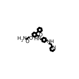 NC(=O)COc1ccc(-c2ccccc2)c(C(=O)Nc2ccc(NCCc3ccccn3)cc2)c1